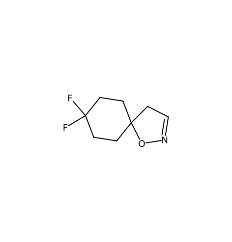 FC1(F)CCC2(CC=NO2)CC1